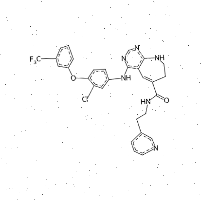 O=C(NCCc1cccnc1)C1=Cc2c(ncnc2Nc2ccc(Oc3cccc(C(F)(F)F)c3)c(Cl)c2)NCC1